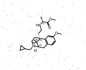 COC(=O)[C@H](C)NCC[C@]12CCN(CC3CC3)[C@H](Cc3ccc(OC)cc31)[C@@H]2C